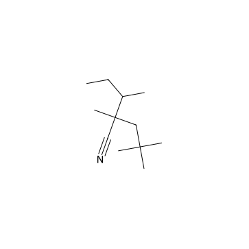 CCC(C)C(C)(C#N)CC(C)(C)C